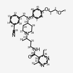 COCCOc1ccc(N(Cc2cccc(C#N)c2)C2CCN(C(C)CCNC(=O)c3c(C)ncnc3C)CC2)cc1